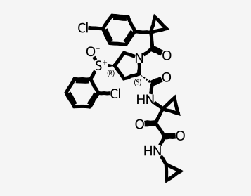 O=C(NC1CC1)C(=O)C1(NC(=O)[C@@H]2C[C@@H]([S+]([O-])c3ccccc3Cl)CN2C(=O)C2(c3ccc(Cl)cc3)CC2)CC1